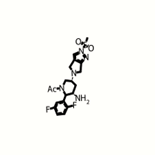 CC(=O)N1C[C@H](N2Cc3cn(S(C)(=O)=O)nc3C2)C[C@H](N)C1c1cc(F)ccc1F